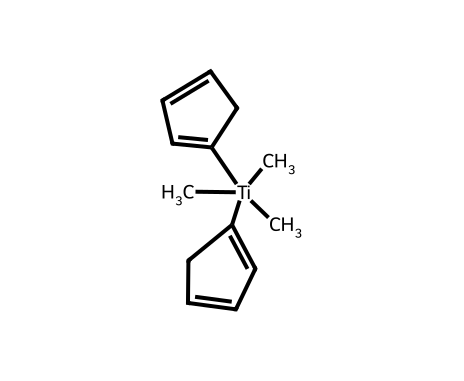 [CH3][Ti]([CH3])([CH3])([C]1=CC=CC1)[C]1=CC=CC1